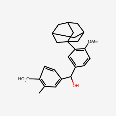 COc1ccc(C(O)c2ccc(C(=O)O)c(C)c2)cc1C12CC3CC(CC(C3)C1)C2